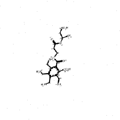 BCc1c(CB)c(CB)c(C(=O)OCCC(=O)OC(CS(=O)(=O)O)C(F)(F)F)c(C(=O)O)c1CB